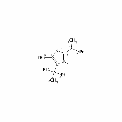 CCC(C)(CC)c1nc(C(C)C(C)C)[nH]c1C(C)(C)C